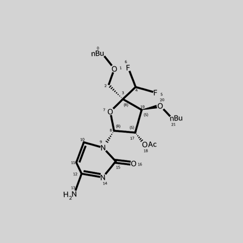 CCCCOC[C@@]1(C(F)F)O[C@@H](n2ccc(N)nc2=O)[C@@H](OC(C)=O)[C@@H]1OCCCC